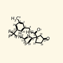 Cc1cc(CNC(=O)C2(c3csc(N)n3)CCC(=O)C2)cc(C(F)(F)F)c1